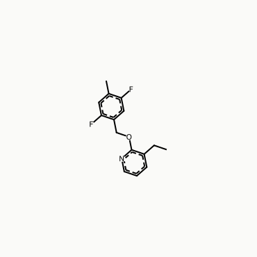 CCc1cccnc1OCc1cc(F)c(C)cc1F